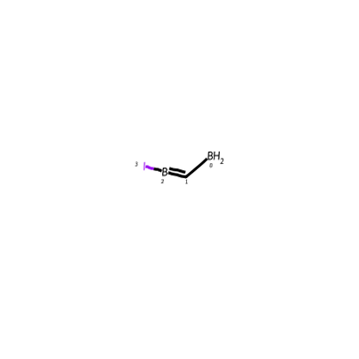 BC=BI